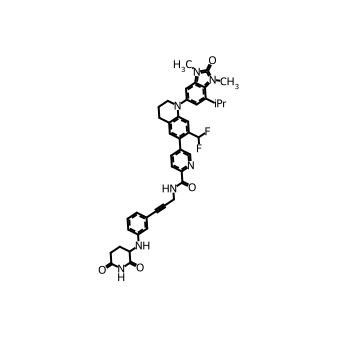 CC(C)c1cc(N2CCCc3cc(-c4ccc(C(=O)NCC#Cc5cccc(NC6CCC(=O)NC6=O)c5)nc4)c(C(F)F)cc32)cc2c1n(C)c(=O)n2C